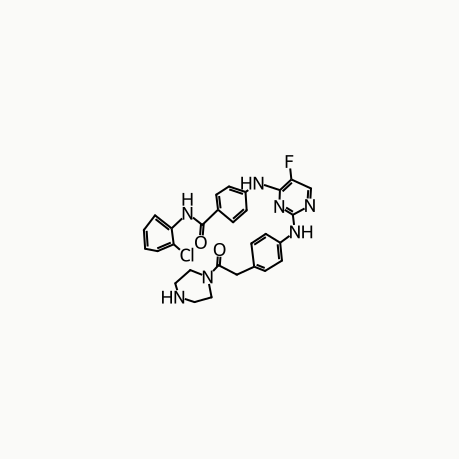 O=C(Nc1ccccc1Cl)c1ccc(Nc2nc(Nc3ccc(CC(=O)N4CCNCC4)cc3)ncc2F)cc1